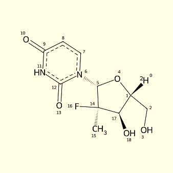 [2H][C@]1(CO)O[C@@H](n2ccc(=O)[nH]c2=O)[C@](C)(F)[C@@H]1O